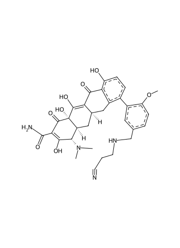 COc1ccc(CNCCC#N)cc1-c1ccc(O)c2c1C[C@H]1C[C@H]3[C@H](N(C)C)C(O)=C(C(N)=O)C(=O)[C@@]3(O)C(O)=C1C2=O